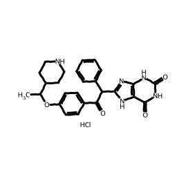 CC(Oc1ccc(C(=O)C(c2ccccc2)c2nc3[nH]c(=O)[nH]c(=O)c3[nH]2)cc1)C1CCNCC1.Cl